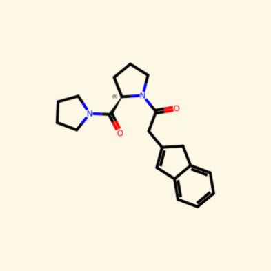 O=C([C@H]1CCCN1C(=O)CC1=Cc2ccccc2C1)N1CCCC1